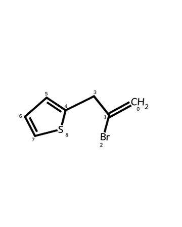 C=C(Br)Cc1cccs1